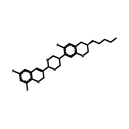 CCCCC[C@H]1COc2cc(C3COC(C4=Cc5cc(F)cc(F)c5OC4)OC3)c(F)cc2C1